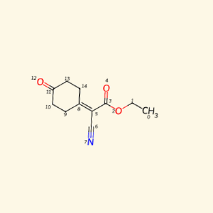 CCOC(=O)C(C#N)=C1CCC(=O)CC1